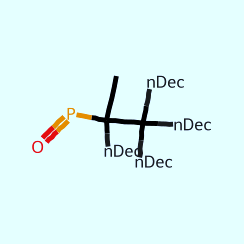 CCCCCCCCCCC(CCCCCCCCCC)(CCCCCCCCCC)C(C)(CCCCCCCCCC)P=O